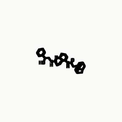 O=C(CC12CC3CC(CC(C3)C1)C2)Nc1cccc2nc(NCC(O)c3ccccc3)ccc12